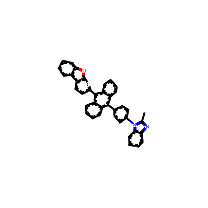 Cc1nc2ccccc2n1-c1ccc(-c2c3ccccc3c(-c3ccc4c(c3)oc3ccccc34)c3ccccc23)cc1